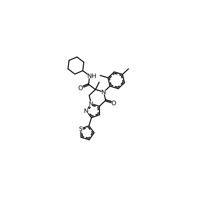 Cc1ccc(N2C(=O)c3cc(-c4cccs4)nn3CC2(C)C(=O)NC2CCCCC2)c(C)c1